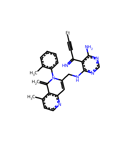 C=C1c2c(C)ccnc2C=C(CNc2ncnc(N)c2C(=N)C#CCC)N1c1ccccc1C